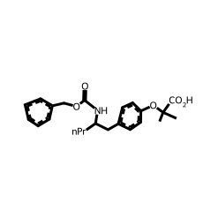 CCCC(Cc1ccc(OC(C)(C)C(=O)O)cc1)NC(=O)OCc1ccccc1